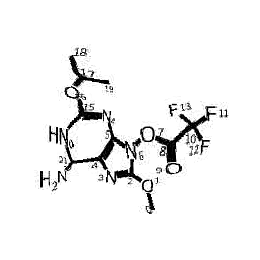 COc1nc2c(n1OC(=O)C(F)(F)F)N=C(OC(C)C)NC2N